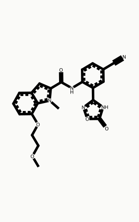 COCCOc1cccc2cc(C(=O)Nc3ccc(C#N)cc3-c3noc(=O)[nH]3)n(C)c12